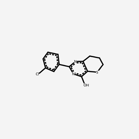 Oc1nc(-c2cccc(Cl)c2)nc2c1SCCC2